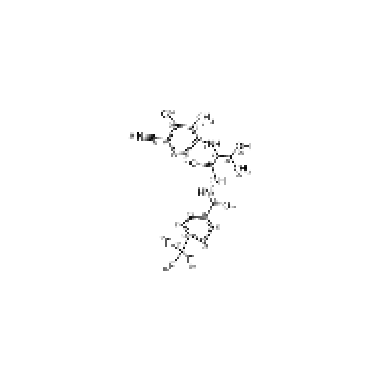 Cc1c(NC(C(=O)NNC(=O)c2ccc(C(F)(F)F)cc2)C(C)O)ccc(C#N)c1Cl